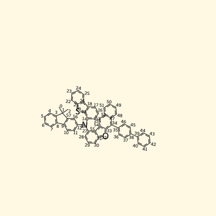 CC1(C)c2ccccc2-c2ccc(N(c3cccc4c3sc3ccccc34)c3cccc4oc5c(-c6ccc(-c7ccccc7)cc6)c6ccccc6cc5c34)cc21